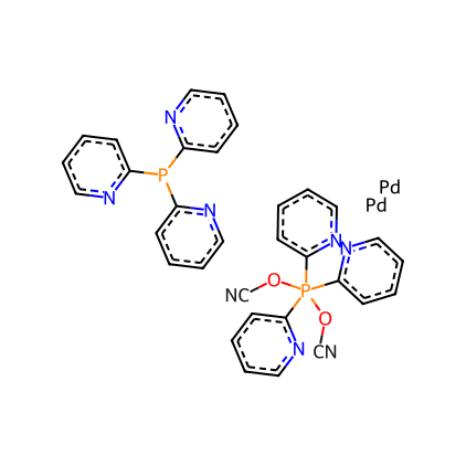 N#COP(OC#N)(c1ccccn1)(c1ccccn1)c1ccccn1.[Pd].[Pd].c1ccc(P(c2ccccn2)c2ccccn2)nc1